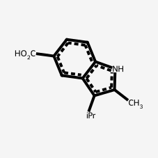 Cc1[nH]c2ccc(C(=O)O)cc2c1C(C)C